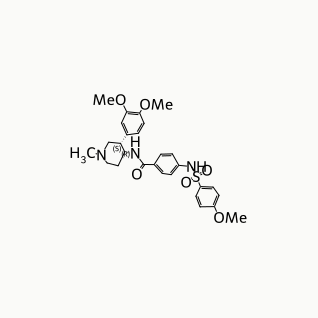 COc1ccc(S(=O)(=O)Nc2ccc(C(=O)N[C@@H]3CCN(C)C[C@@H]3c3ccc(OC)c(OC)c3)cc2)cc1